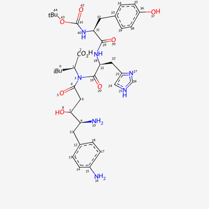 CCC(C)[C@@H](C(=O)O)N(C(=O)CC(O)[C@@H](N)Cc1ccc(N)cc1)C(=O)[C@H](Cc1c[nH]cn1)NC(=O)[C@H](Cc1ccc(O)cc1)NC(=O)OC(C)(C)C